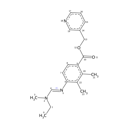 CCN(C)/C=N/c1ccc(C(=O)OCc2cccnc2)c(C)c1C